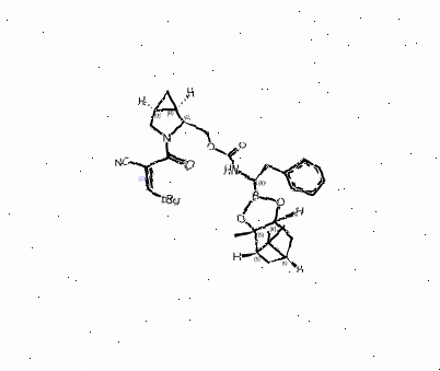 CC(C)(C)/C=C(/C#N)C(=O)N1C[C@H]2C[C@H]2[C@H]1COC(=O)N[C@@H](Cc1ccccc1)B1O[C@@H]2C[C@@H]3C[C@@H](C3(C)C)[C@]2(C)O1